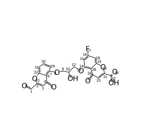 O=Cc1cc(=O)c2c(OCC(O)COc3cc(F)cc4oc(C(=O)O)cc(=O)c34)cccc2o1